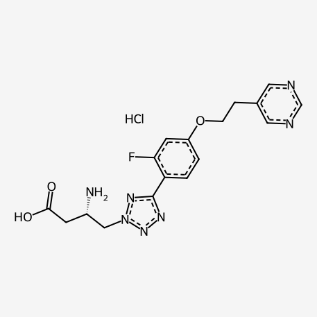 Cl.N[C@@H](CC(=O)O)Cn1nnc(-c2ccc(OCCc3cncnc3)cc2F)n1